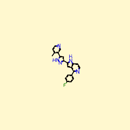 Cc1ccncc1-c1cc(-c2cc3c(-c4ccc(F)cc4)nccc3[nH]2)n[nH]1